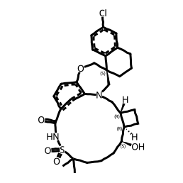 CC1(C)CCC[C@H](O)[C@@H]2CC[C@H]2CN2C[C@@]3(CCCc4cc(Cl)ccc43)COc3ccc(cc32)C(=O)NS1(=O)=O